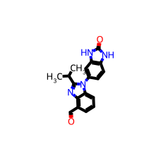 CC(C)c1nc2c(C=O)cccc2n1-c1ccc2[nH]c(=O)[nH]c2c1